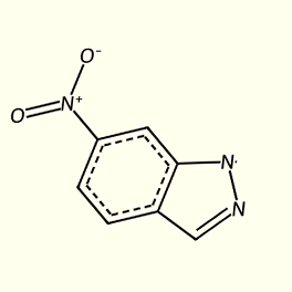 O=[N+]([O-])c1ccc2c(c1)[N]N=C2